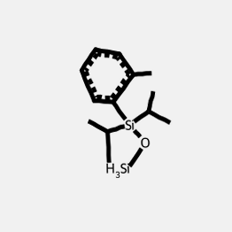 Cc1ccccc1[Si](O[SiH3])(C(C)C)C(C)C